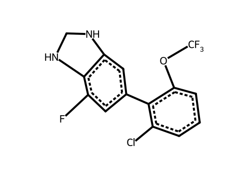 Fc1cc(-c2c(Cl)cccc2OC(F)(F)F)cc2c1NCN2